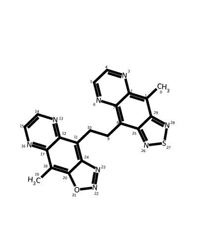 Cc1c2nccnc2c(CCc2c3nccnc3c(C)c3onnc23)c2nsnc12